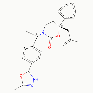 C=C(C)C[C@]1(c2ccccc2)CCN([C@@H](C)c2ccc(C3NN=C(C)O3)cc2)C(=O)O1